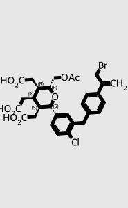 C=C(CBr)c1ccc(Cc2cc([C@H]3O[C@@H](COC(C)=O)[C@H](CC(=O)O)[C@H](CC(=O)O)[C@@H]3CC(=O)O)ccc2Cl)cc1